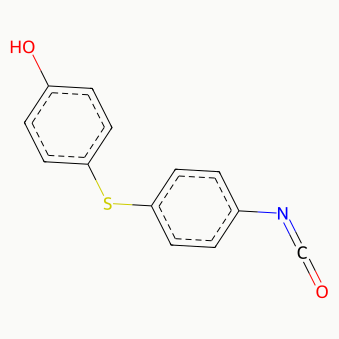 O=C=Nc1ccc(Sc2ccc(O)cc2)cc1